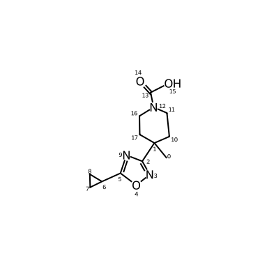 CC1(c2noc(C3CC3)n2)CCN(C(=O)O)CC1